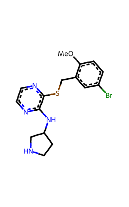 COc1ccc(Br)cc1CSc1nccnc1NC1CCNC1